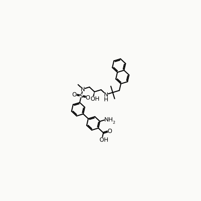 CN(C[C@H](O)CNC(C)(C)Cc1ccc2ccccc2c1)S(=O)(=O)c1cccc(-c2ccc(C(=O)O)c(N)c2)c1